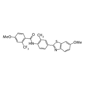 COc1ccc(C(=O)Nc2ccc(-c3nc4ccc(OC)cc4s3)cc2C)c(C(F)(F)F)c1